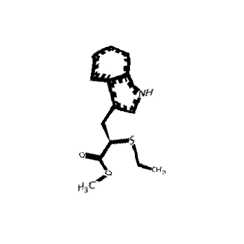 CCS[C@H](Cc1c[nH]c2ccccc12)C(=O)OC